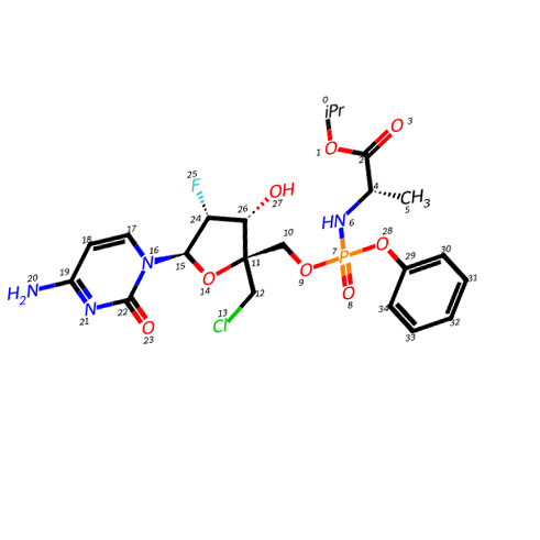 CC(C)OC(=O)[C@H](C)NP(=O)(OC[C@@]1(CCl)O[C@@H](n2ccc(N)nc2=O)[C@H](F)[C@@H]1O)Oc1ccccc1